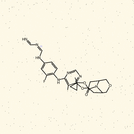 Cc1c(Nc2ccc(N/C=N\C=N)cc2F)ncnc1OC1CC2COCC(C1)N2C(=O)OC1(C)CC1